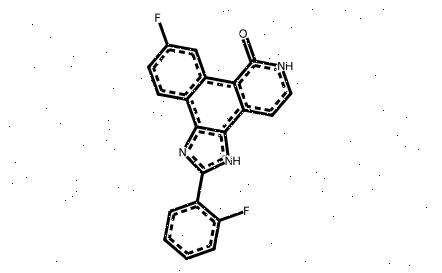 O=c1[nH]ccc2c3[nH]c(-c4ccccc4F)nc3c3ccc(F)cc3c12